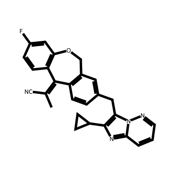 CC(C#N)=C1c2ccc(Cc3c(C4CC4)nc4cccnn34)cc2COc2cc(F)ccc21